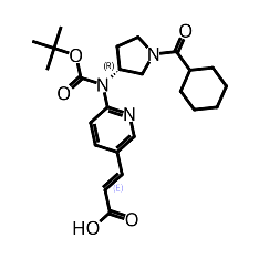 CC(C)(C)OC(=O)N(c1ccc(/C=C/C(=O)O)cn1)[C@@H]1CCN(C(=O)C2CCCCC2)C1